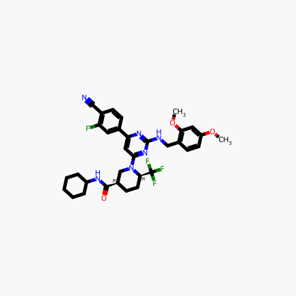 COc1ccc(CNc2nc(-c3ccc(C#N)c(F)c3)cc(N3C[C@H](C(=O)NC4CCCCC4)CC[C@@H]3C(F)(F)F)n2)c(OC)c1